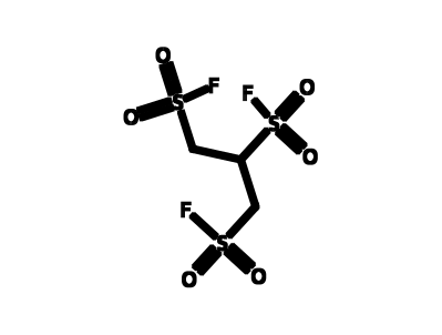 O=S(=O)(F)CC(CS(=O)(=O)F)S(=O)(=O)F